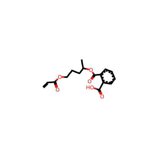 C=CC(=O)OCCCC(C)OC(=O)c1ccccc1C(=O)O